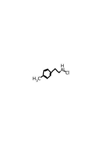 Cc1ccc(C[CH2][AlH][Cl])cc1